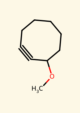 COC1C#CCCCCC1